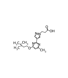 Cc1cc(OCCS(C)(C)C)nc(-c2cnn(CCC(=O)O)c2)n1